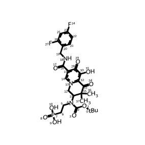 CC(C)(C)OC(=O)N(CCP(=O)(O)O)C1Cn2cc(C(=O)NCc3ccc(F)cc3F)c(=O)c(O)c2C(=O)C1(C)C